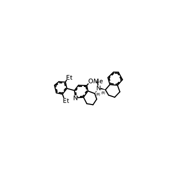 CCc1cccc(CC)c1-c1cc(OC)c2c(n1)CCC[C@H]2N(C)[C@@H]1CCCc2ccccc21